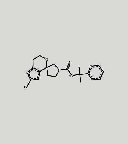 CC(C)(NC(=O)N1CC[C@]2(C1)OCCn1nc(Br)cc12)c1ccccn1